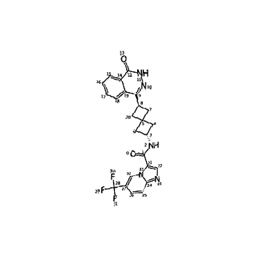 O=C(N[C@H]1CC2(C1)C[C@H](c1n[nH]c(=O)c3ccccc31)C2)c1cnc2ccc(C(F)(F)F)cn12